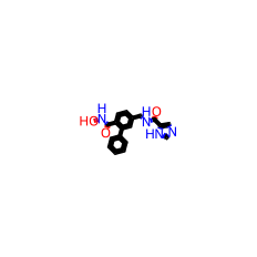 O=C(NCc1ccc(C(=O)NO)c(-c2ccccc2)c1)c1cnc[nH]1